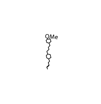 CC=CCCC1CCC(CCCCC2CCC(OC)CC2)CC1